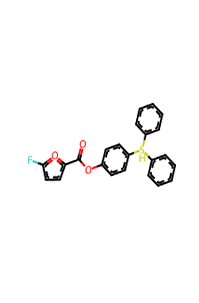 O=C(Oc1ccc([SH](c2ccccc2)c2ccccc2)cc1)c1ccc(F)o1